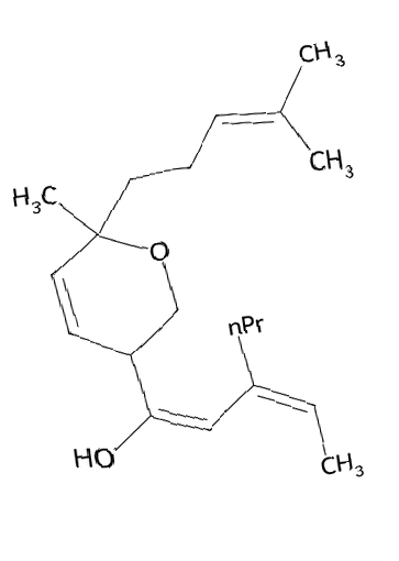 C/C=C(\C=C(\O)C1C=CC(C)(CCC=C(C)C)OC1)CCC